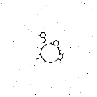 C=CC[C@@H]1/C=C(\C)C[C@H](C)C[C@H](OC)C2OC(O)(C(=O)C(=O)N3CCCCC3C(=O)O[C@H](/C(C)=C/C3CC[C@@H](O)C(C)C3)[C@H](C)C(O)CC1=O)C(C)CC2OC